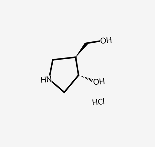 Cl.OC[C@@H]1CNC[C@H]1O